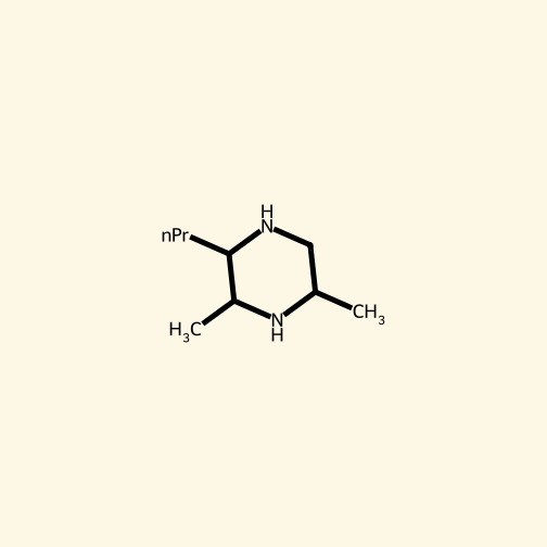 CCCC1NCC(C)NC1C